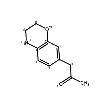 CC(=O)Cc1ccc2c(c1)OCCN2